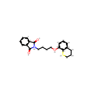 O=C1c2ccccc2C(=O)N1CCCCOc1cccc2c1SCCC2